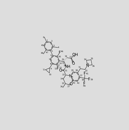 Cc1cc(C)c(-c2cc(C3CC3)c(F)c([C@H](CC(=O)O)NC(=O)C(CC(C)C)n3cc(CCN4CCC4)c(C(F)(F)F)cc3=O)c2F)c(C)c1